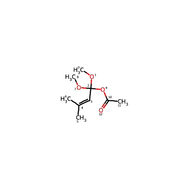 COC(C=C(C)C)(OC)OC(C)=O